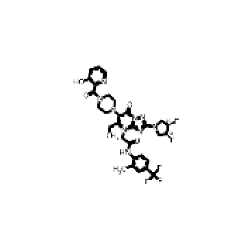 CCc1c(N2CCN(C(=O)c3ncccc3O)CC2)c(=O)n2nc(N3C[C@@H](F)[C@@H](F)C3)nc2n1CC(=O)Nc1ccc(C(F)(F)F)cc1C